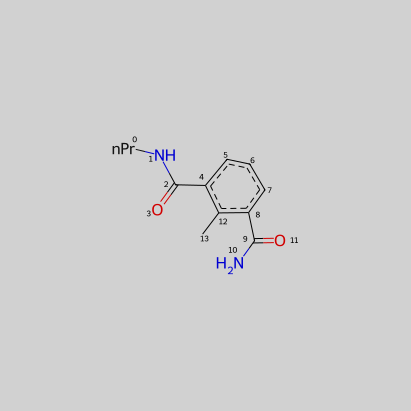 CCCNC(=O)c1cccc(C(N)=O)c1C